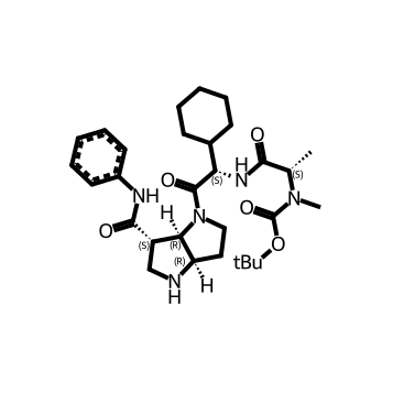 C[C@@H](C(=O)N[C@H](C(=O)N1CC[C@H]2NC[C@H](C(=O)Nc3ccccc3)[C@H]21)C1CCCCC1)N(C)C(=O)OC(C)(C)C